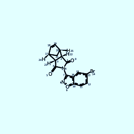 O=C1[C@@H]2[C@H](C(=O)N1c1noc3ccc(Br)cc13)[C@@H]1C=C[C@H]2C1